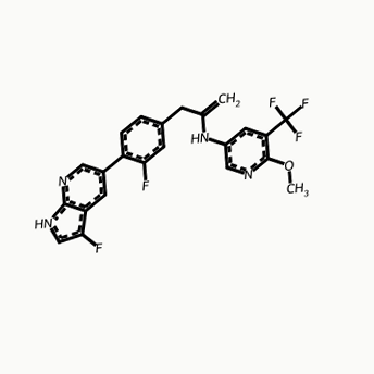 C=C(Cc1ccc(-c2cnc3[nH]cc(F)c3c2)c(F)c1)Nc1cnc(OC)c(C(F)(F)F)c1